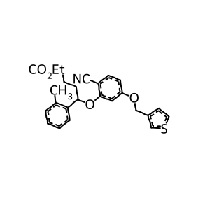 CCOC(=O)CCC(Oc1cc(OCc2ccsc2)ccc1C#N)c1ccccc1C